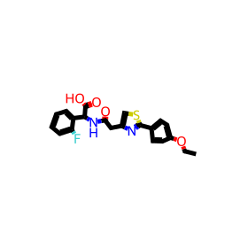 CCOc1ccc(-c2nc(CC(=O)NC(C(=O)O)c3ccccc3F)cs2)cc1